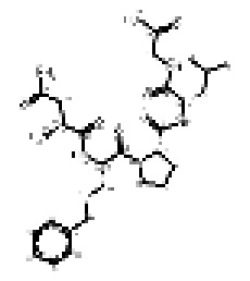 CC(C)C[C@H](NC(=O)[C@@H]1CCCN1C(=O)[C@H](CSCc1ccccc1)NC(=O)[C@@H](N)CC(N)=O)C(=O)NCC(N)=O